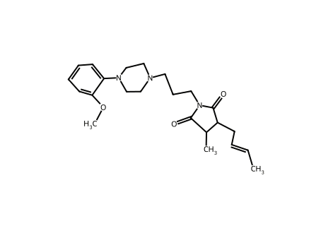 CC=CCC1C(=O)N(CCCN2CCN(c3ccccc3OC)CC2)C(=O)C1C